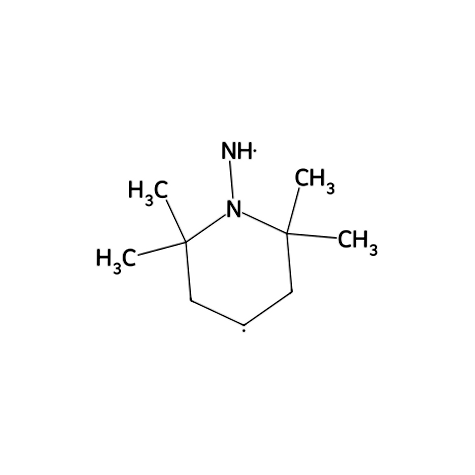 CC1(C)C[CH]CC(C)(C)N1[NH]